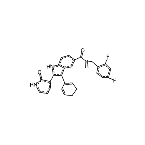 O=C(NCc1ccc(F)cc1F)c1ccc2[nH]c(-c3ccc[nH]c3=O)c(C3=CCCC=C3)c2c1